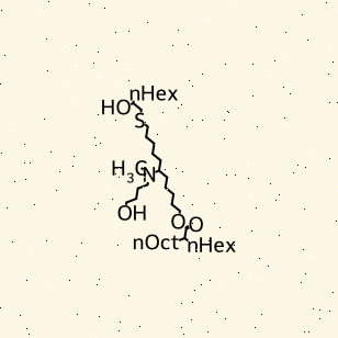 CCCCCCCCC(CCCCCC)C(=O)OCCCCCC(CCCCCSCC(O)CCCCCC)N(C)CCCCO